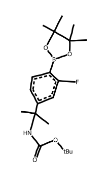 CC(C)(C)OC(=O)NC(C)(C)c1ccc(B2OC(C)(C)C(C)(C)O2)c(F)c1